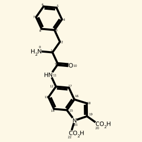 NC(Cc1ccccc1)C(=O)Nc1ccc2c(c1)cc(C(=O)O)n2C(=O)O